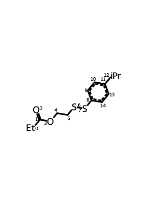 CCC(=O)OCCSSc1ccc(C(C)C)cc1